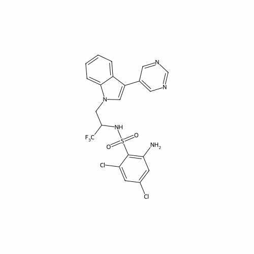 Nc1cc(Cl)cc(Cl)c1S(=O)(=O)NC(Cn1cc(-c2cncnc2)c2ccccc21)C(F)(F)F